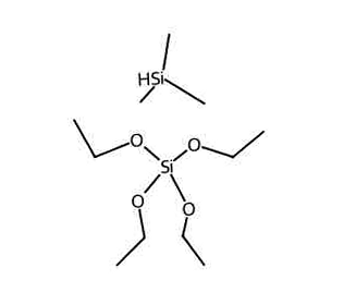 CCO[Si](OCC)(OCC)OCC.C[SiH](C)C